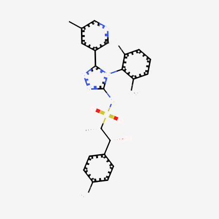 COc1cccc(OC)c1-n1c(NS(=O)(=O)[C@@H](C)[C@H](O)c2ccc(C#N)cc2)nnc1-c1cncc(C)c1